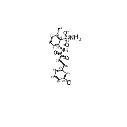 NS(=O)(=O)c1c(F)cccc1NS(=O)(=O)C=Cc1cccc(Cl)c1